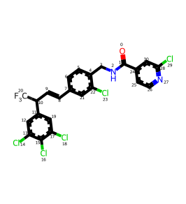 O=C(NCc1ccc(/C=C/C(c2cc(Cl)c(Cl)c(Cl)c2)C(F)(F)F)cc1Cl)c1ccnc(Cl)c1